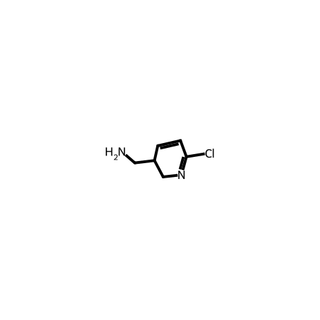 NCC1C=CC(Cl)=NC1